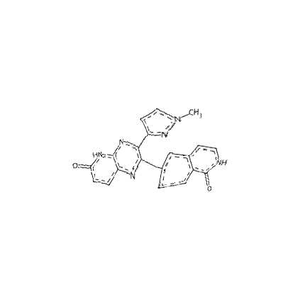 Cn1ccc(-c2nc3[nH]c(=O)ccc3nc2-c2ccc3c(=O)[nH]ccc3c2)n1